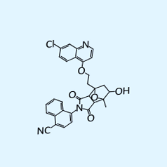 CC12OC(CCOc3ccnc4cc(Cl)ccc34)(CC1O)C1C(=O)N(c3ccc(C#N)c4ccccc34)C(=O)C12